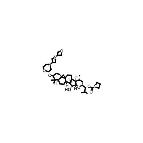 CC(C)[C@@H](OC(=O)N1CCC1)[C@H]1C[C@@H](C)[C@H]2[C@H](O1)[C@H](O)[C@@]1(C)[C@@H]3CC[C@H]4C(C)(C)C(O[C@H]5CN(C6CN(C7COC7)C6)CCO5)CC[C@@]45C[C@@]35CC[C@]21C